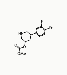 CCc1ccc(C2CNCC(OC(=O)OC)C2)cc1F